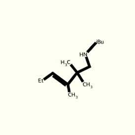 CC/C=C(\C)C(C)(C)CNC(C)CC